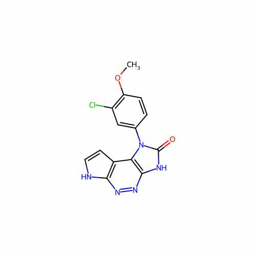 COc1ccc(-n2c(=O)[nH]c3nnc4[nH]ccc4c32)cc1Cl